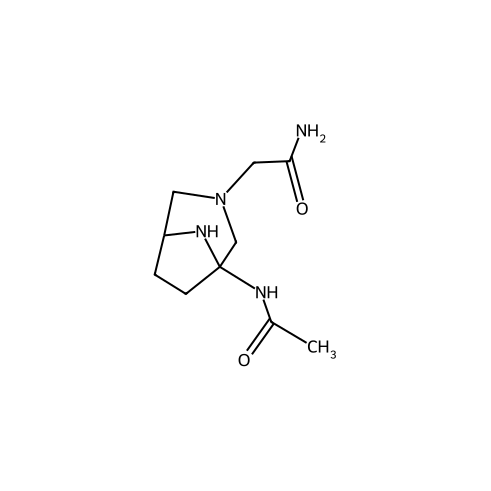 CC(=O)NC12CCC(CN(CC(N)=O)C1)N2